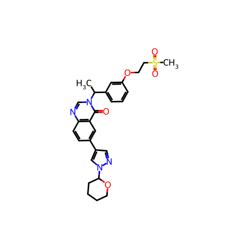 CC(c1cccc(OCCS(C)(=O)=O)c1)n1cnc2ccc(-c3cnn(C4CCCCO4)c3)cc2c1=O